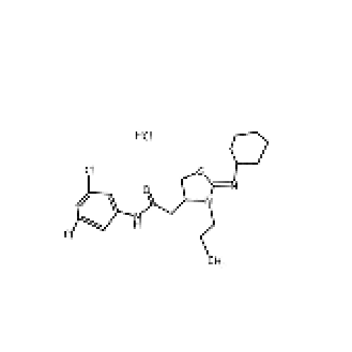 CCCN1C(=NC2CCCCC2)SCC1CC(=O)Nc1cc(Cl)cc(Cl)c1.Cl